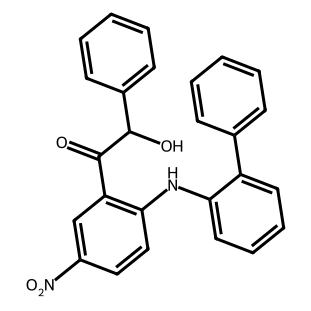 O=C(c1cc([N+](=O)[O-])ccc1Nc1ccccc1-c1ccccc1)C(O)c1ccccc1